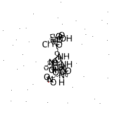 O=C(CNC(=O)C1(C(=O)NCCCCCN2C(=O)C=CC2=O)CCC1)NCCC(=O)Nc1cc(/C=C/C(=O)N2C[C@@H](CCl)c3c2cc(OP(=O)(O)O)c2ccccc32)ccc1/C=C/C(=O)N1CCc2c1cc(O[PH](=O)O)c1ccccc21